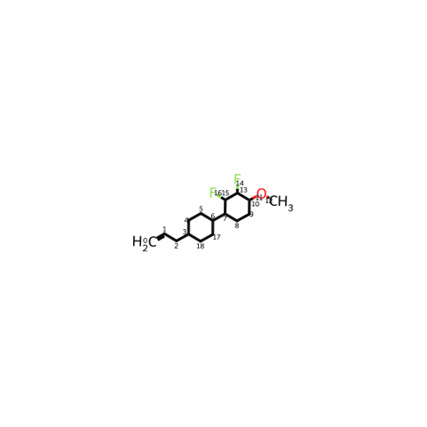 C=CCC1CCC(C2CCC(OC)C(F)C2F)CC1